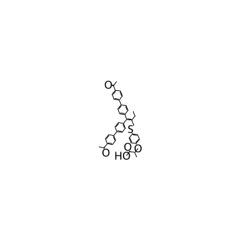 CCC(CSc1ccc(OC(C)C(=O)O)cc1)=C(c1ccc(-c2ccc(C(C)=O)cc2)cc1)c1ccc(-c2ccc(C(C)=O)cc2)cc1